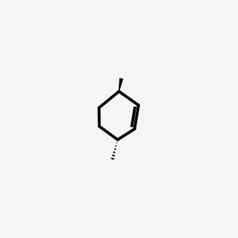 C[C@H]1C=C[C@H](C)CC1